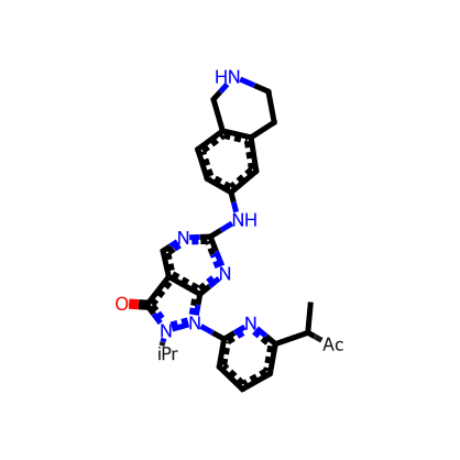 CC(=O)C(C)c1cccc(-n2c3nc(Nc4ccc5c(c4)CCNC5)ncc3c(=O)n2C(C)C)n1